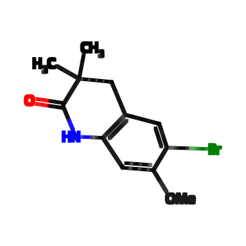 COc1cc2c(cc1Br)CC(C)(C)C(=O)N2